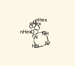 CCCCCCOc1ccc(-c2c3nc(cc4ccc(cc5nc(cc6ccc2[nH]6)C=C5)[nH]4)C=C3)c(OCCCCCC)c1OCCCCCC